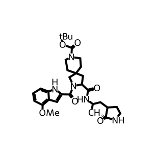 COc1cccc2[nH]c(C(=O)N3CC4(CCN(C(=O)OC(C)(C)C)CC4)CC3C(=O)NC(C)CC3CCNC3=O)cc12